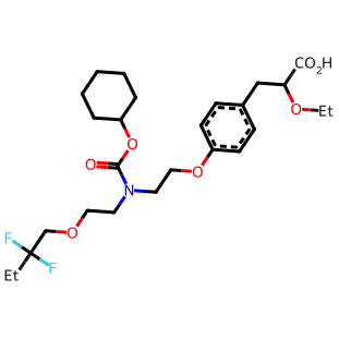 CCOC(Cc1ccc(OCCN(CCOCC(F)(F)CC)C(=O)OC2CCCCC2)cc1)C(=O)O